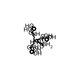 BC(=O)CCC(=O)NC(CCCNC(=O)c1cccc(O)c1O)(CCCNC(=O)c1cccc(O)c1O)CCCNC(=O)c1cccc(O)c1O